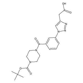 CC(C)(C)OC(=O)N1CCN(C(=O)c2cccc(-n3cc(CC(=O)O)nn3)c2)CC1